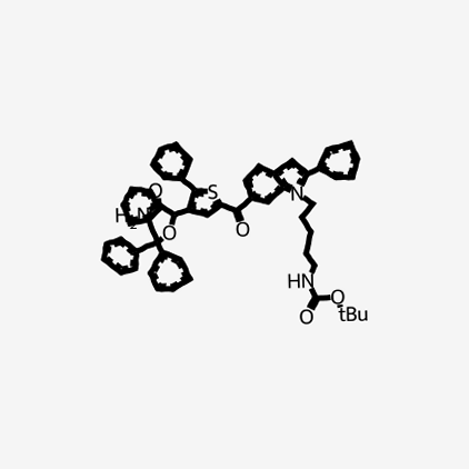 CC(C)(C)OC(=O)NCCCCCn1c(-c2ccccc2)cc2ccc(C(=O)c3cc(C(OC(c4ccccc4)(c4ccccc4)c4ccccc4)C(N)=O)c(-c4ccccc4)s3)cc21